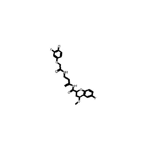 C=C(CCNC(=O)COc1ccc(Cl)c(F)c1)NC(=O)C1CC(OC)c2cc(F)ccc2O1